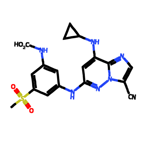 CS(=O)(=O)c1cc(NC(=O)O)cc(Nc2cc(NC3CC3)c3ncc(C#N)n3n2)c1